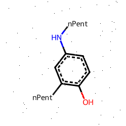 CCCCCNc1ccc(O)c(CCCCC)c1